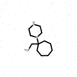 NCC1(N2CCNCC2)CCCCCC1